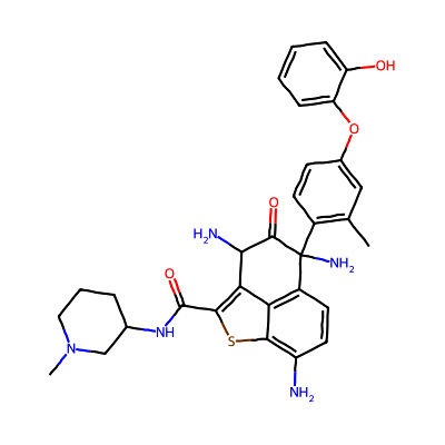 Cc1cc(Oc2ccccc2O)ccc1C1(N)C(=O)C(N)c2c(C(=O)NC3CCCN(C)C3)sc3c(N)ccc1c23